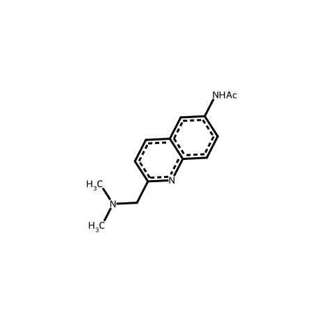 CC(=O)Nc1ccc2nc(CN(C)C)ccc2c1